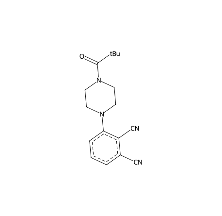 CC(C)(C)C(=O)N1CCN(c2cccc(C#N)c2C#N)CC1